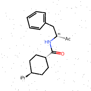 CC(=O)[C@@H](Cc1ccccc1)NC(=O)[C@H]1CC[C@H](C(C)C)CC1